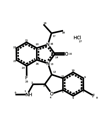 CNCC1Oc2cc(F)ccc2C1n1c(=O)n(C(C)C)c2cccc(F)c21.Cl